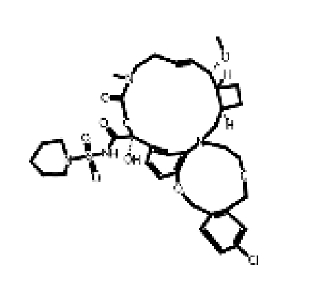 CO[C@H]1/C=C/CCN(C)C(=O)C[C@](O)(C(=O)NS(=O)(=O)N2CCCCC2)c2ccc3c(c2)N(CCCCc2cc(Cl)ccc2CO3)C[C@@H]2CC[C@H]21